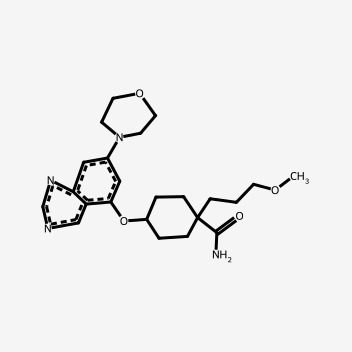 COCCCC1(C(N)=O)CCC(Oc2cc(N3CCOCC3)cc3ncncc23)CC1